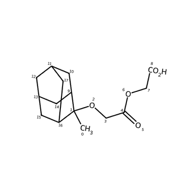 CC1(OCC(=O)OCC(=O)O)C2CC3CC(C2)CC1C3